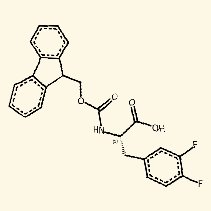 O=C(N[C@@H](Cc1ccc(F)c(F)c1)C(=O)O)OCC1c2ccccc2-c2ccccc21